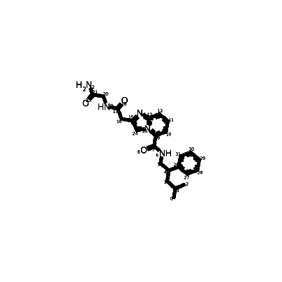 CC(C)CC(CNC(=O)c1cccc2nc(CC(=O)NCC(N)=O)cn12)c1ccccc1